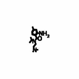 Cc1ccc(C(=O)N(CCN(C)C)C(C)C)c(N)c1